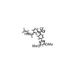 COc1cc(OC)nc(-c2ccc(N(C(=O)C(F)(F)F)c3cccc(C4CC4NCC4CC4)c3)cc2)n1